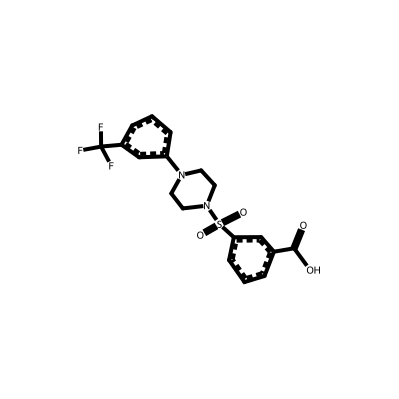 O=C(O)c1cccc(S(=O)(=O)N2CCN(c3cccc(C(F)(F)F)c3)CC2)c1